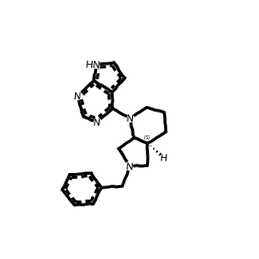 c1ccc(CN2CC3[C@@H](CCCN3c3ncnc4[nH]ccc34)C2)cc1